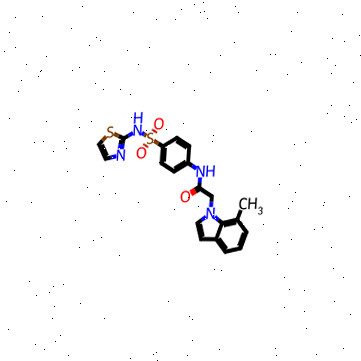 Cc1cccc2ccn(CC(=O)Nc3ccc(S(=O)(=O)Nc4nccs4)cc3)c12